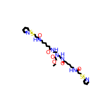 CCOCC(=O)N(CCNC(=O)CCCCCNC(=O)CCSSc1ccccn1)CCNC(=O)CCCCCNC(=O)CCSSc1ccccn1